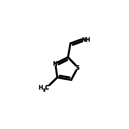 Cc1csc(C=N)n1